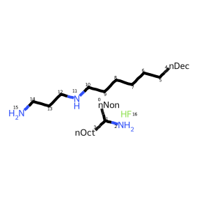 CCCCCCCCCC(N)CCCCCCCC.CCCCCCCCCCCCCCCCNCCCN.F